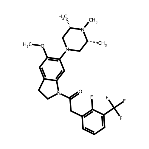 COc1cc2c(cc1N1C[C@@H](C)N(C)[C@@H](C)C1)N(C(=O)Cc1cccc(C(F)(F)F)c1F)CC2